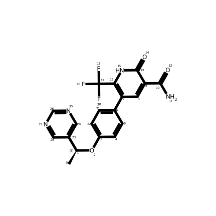 C[C@H](Oc1ccc(-c2cc(C(N)=O)c(=O)[nH]c2C(F)(F)F)cc1)c1cncnc1